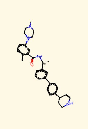 Cc1ccc(N2CCN(C)CC2)cc1C(=O)N[C@H](C)c1cccc(-c2ccc(C3CCNCC3)cc2)c1